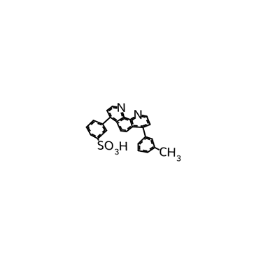 Cc1cccc(-c2ccnc3c2ccc2c(-c4cccc(S(=O)(=O)O)c4)ccnc23)c1